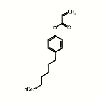 C=CC(=O)Oc1ccc(CCCCCCCCCCCCCCC)cc1